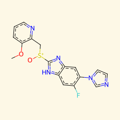 COc1cccnc1C[S+]([O-])c1nc2cc(-n3ccnc3)c(F)cc2[nH]1